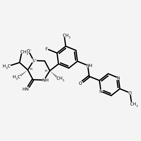 COc1cnc(C(=O)Nc2cc(C)c(F)c([C@]3(C)C[S+]([O-])[C@](C)(C(C)C)C(=N)N3)c2)cn1